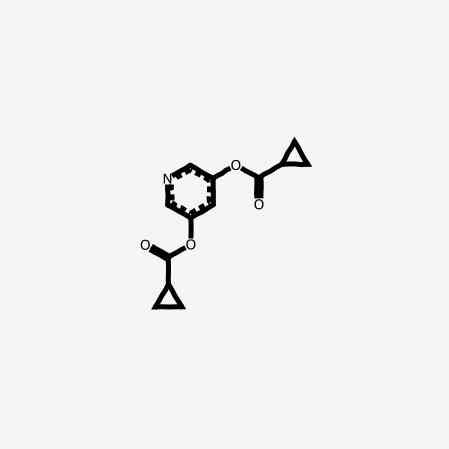 O=C(Oc1cncc(OC(=O)C2CC2)c1)C1CC1